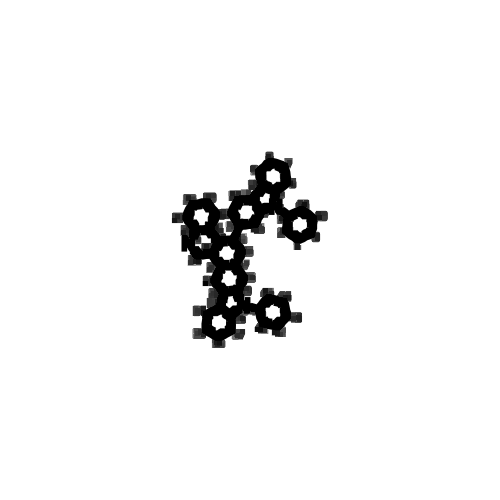 c1ccc(-n2c3ccccc3c3ccc(-c4cc5cc6c(cc5c5cnc7ccccc7c45)c4ccccc4n6-c4ccccc4)cc32)cc1